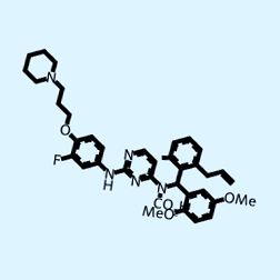 C=CCc1cccc(C)c1C(c1cc(OC)ccc1OC)N(C(=O)O)c1ccnc(Nc2ccc(OCCCN3CCCCC3)c(F)c2)n1